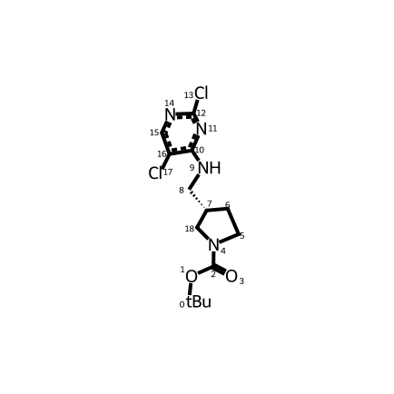 CC(C)(C)OC(=O)N1CC[C@@H](CNc2nc(Cl)ncc2Cl)C1